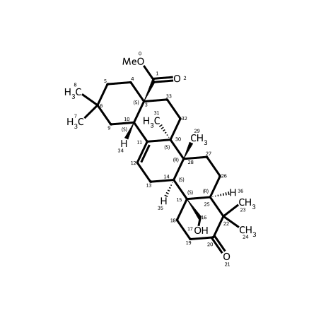 COC(=O)[C@]12CCC(C)(C)C[C@H]1C1=CC[C@@H]3[C@@]4(CO)CCC(=O)C(C)(C)[C@@H]4CC[C@@]3(C)[C@]1(C)CC2